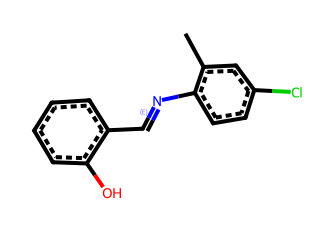 Cc1cc(Cl)ccc1/N=C/c1ccccc1O